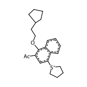 CC(=O)c1cc([S+]2CCCC2)c2ccccc2c1OCCC1CCCC1